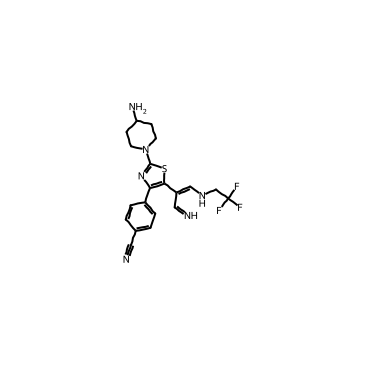 N#Cc1ccc(-c2nc(N3CCC(N)CC3)sc2/C(C=N)=C/NCC(F)(F)F)cc1